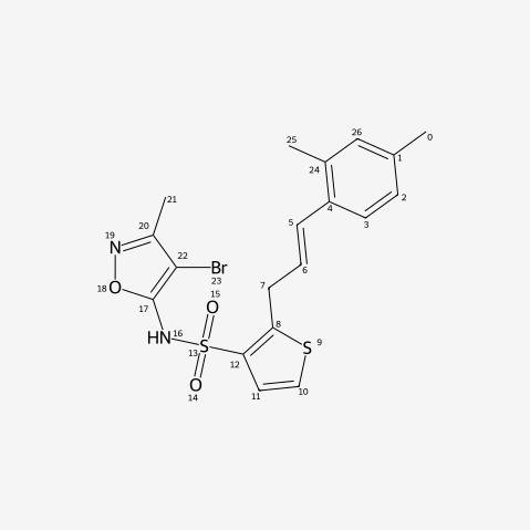 Cc1ccc(C=CCc2sccc2S(=O)(=O)Nc2onc(C)c2Br)c(C)c1